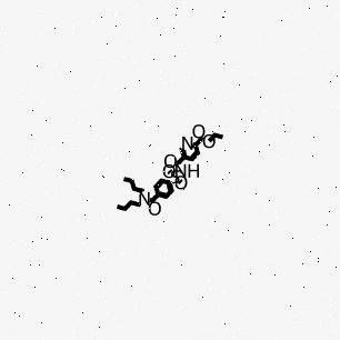 CCCCN(CCCC)C(=O)c1ccc(S(=O)(=O)NC(=O)c2ccc(C(=O)OCC)nc2)cc1